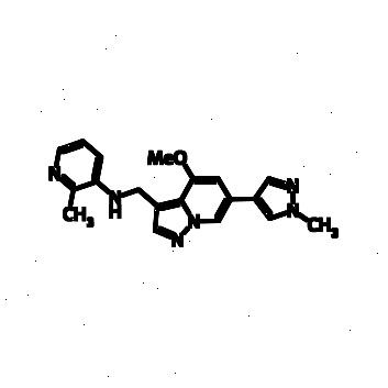 COc1cc(-c2cnn(C)c2)cn2ncc(CNc3cccnc3C)c12